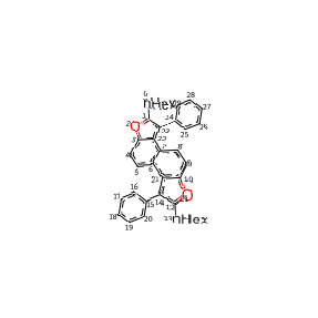 CCCCCCc1oc2ccc3c(ccc4oc(CCCCCC)c(-c5ccccc5)c43)c2c1-c1ccccc1